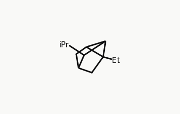 CCC12CC3CC1C2C3C(C)C